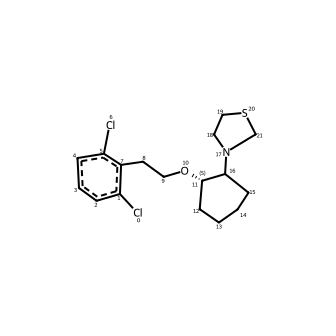 Clc1cccc(Cl)c1CCO[C@H]1CCCCC1N1CCSC1